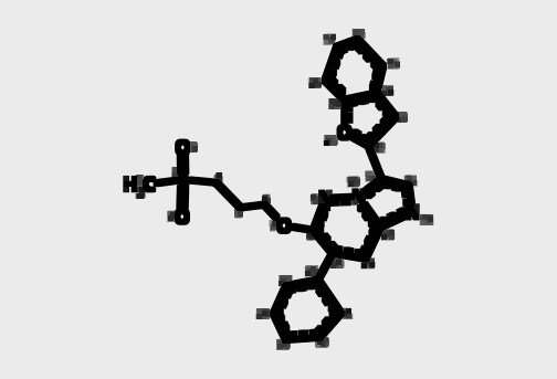 CS(=O)(=O)CCCOc1nn2c(-c3cc4ccccc4o3)cnc2cc1-c1ccccc1